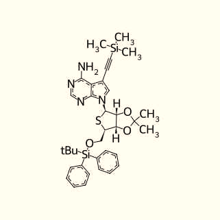 CC1(C)O[C@@H]2[C@H](O1)[C@@H](CO[Si](c1ccccc1)(c1ccccc1)C(C)(C)C)S[C@H]2n1cc(C#C[Si](C)(C)C)c2c(N)ncnc21